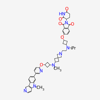 CC(C)N(CCN1CC2(CC(N(C)C3CC(Oc4ccc(-c5ccc6c7cnccc7n(C)c6c5)cn4)C3)C2)C1)C1CC(Oc2ccc3c(c2)C(=O)N(C2CCC(=O)NC2=O)C3=O)C1